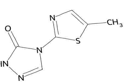 Cc1cnc(-n2cn[nH]c2=O)s1